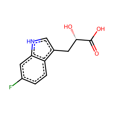 O=C(O)[C@@H](O)Cc1c[nH]c2cc(F)ccc12